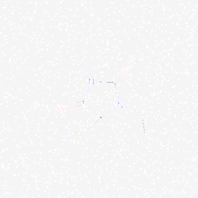 CCN1C(=O)N(C)C(=O)C1(C)S